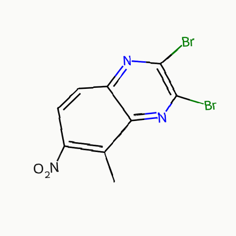 Cc1c([N+](=O)[O-])ccc2nc(Br)c(Br)nc12